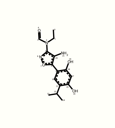 CCN(C=O)c1noc(-c2cc(C(C)C)c(O)cc2O)c1N